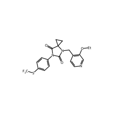 CCOc1cnccc1CN1C(=O)N(c2ccc(SC(F)(F)F)cc2)C(=O)C12CC2